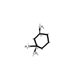 C[C@H]1CCC[C@](C)(N)C1